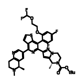 C[C@@H]1c2cc(-c3nc(-c4cc5n(n4)CCN(C(=O)OC(C)(C)C)[C@@H]5C)c(-c4c(F)cc(F)cc4OCCOC(F)F)c4sccc34)cnc2CCN1C